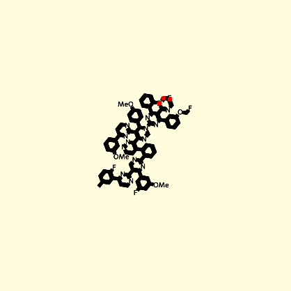 COc1ccc(C2C(c3nccc(-c4cccc(OC)c4)n3)=C(c3nnccc3-c3ccccc3-c3ncc(-c4nccc(-c5cc(C)ccc5F)n4)c(-c4cc(F)cc(OC)c4)n3)N=[C]N2c2nc(-c3cccc(OCF)c3)c(-c3ncccn3)c(-c3ccccc3OCF)n2)cc1